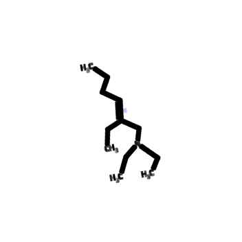 CCC/C=C(\CC)CN(CC)CC